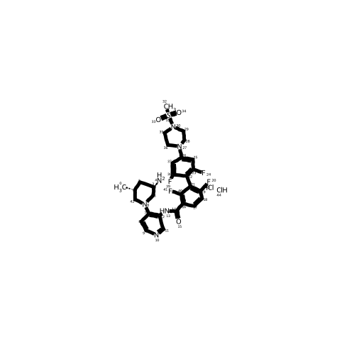 C[C@@H]1C[C@H](N)CN(c2ccncc2NC(=O)c2ccc(F)c(-c3c(F)cc(N4CCN(S(C)(=O)=O)CC4)cc3F)c2F)C1.Cl.Cl